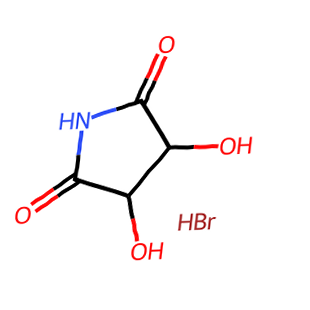 Br.O=C1NC(=O)C(O)C1O